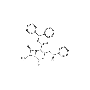 NC1C(=O)N2C(C(=O)OC(c3ccccc3)c3ccccc3)=C(CC(=O)c3ccccc3)C[S+]([O-])C12